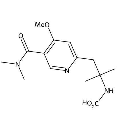 COc1cc(CC(C)(C)NC(=O)O)ncc1C(=O)N(C)C